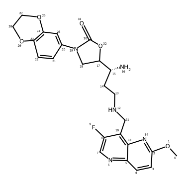 COc1ccc2ncc(F)c(CNCC[C@@H](N)C3CN(c4ccc5c(c4)OCCO5)C(=O)O3)c2n1